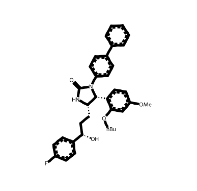 CCCCOc1cc(OC)ccc1[C@@H]1[C@H](CC[C@H](O)c2ccc(F)cc2)NC(=O)N1c1ccc(-c2ccccc2)cc1